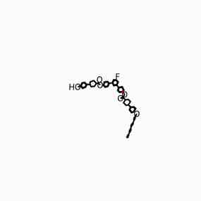 C#CC#CC#CC#COc1ccc(C2CCC(C(=O)Oc3ccc(-c4cc(F)cc(-c5ccc(OC(=O)C6CCC(c7ccc(O)cc7)CC6)cc5)c4)cc3)CC2)cc1